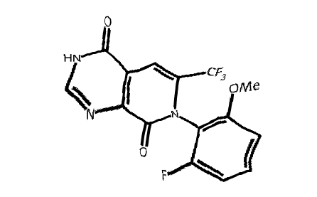 COc1cccc(F)c1-n1c(C(F)(F)F)cc2c(=O)[nH]cnc2c1=O